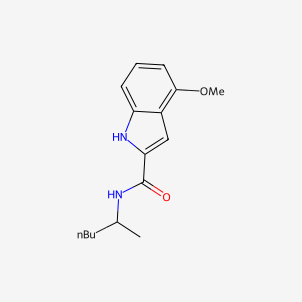 CCCCC(C)NC(=O)c1cc2c(OC)cccc2[nH]1